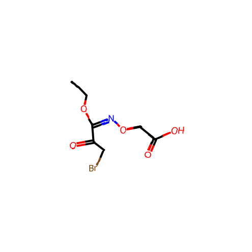 CCOC(=NOCC(=O)O)C(=O)CBr